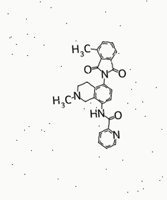 Cc1cccc2c1C(=O)N(c1ccc(NC(=O)c3ccccn3)c3c1CCN(C)C3)C2=O